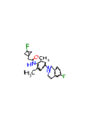 Cc1cc(N2CCc3cc(F)ccc3C2)cc(C)c1NC(=O)CC12CC(F)(C1)C2